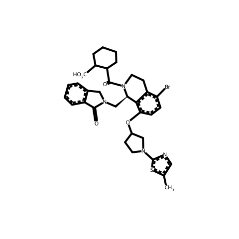 Cc1cnc(N2CCC(Oc3ccc(Br)c4c3[C@@H](CN3Cc5ccccc5C3=O)N(C(=O)C3CCCCC3C(=O)O)CC4)C2)s1